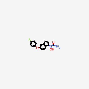 NC(=O)N(O)C1CCc2cc(Oc3ccc(F)cc3)ccc21